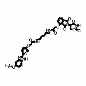 O=C(COc1ccc(-c2nc3cc(OC(F)(F)F)ccc3[nH]2)nc1)NCCCCCCNC(=O)COc1cccc2c1C(=O)N(C1CCC(=O)NC1=O)C2=O